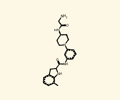 Cc1cccc2c1NC(C(=O)Nc1cccc(N3CCC(NC(=O)CN)CC3)c1)C2